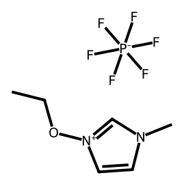 CCO[n+]1ccn(C)c1.F[P-](F)(F)(F)(F)F